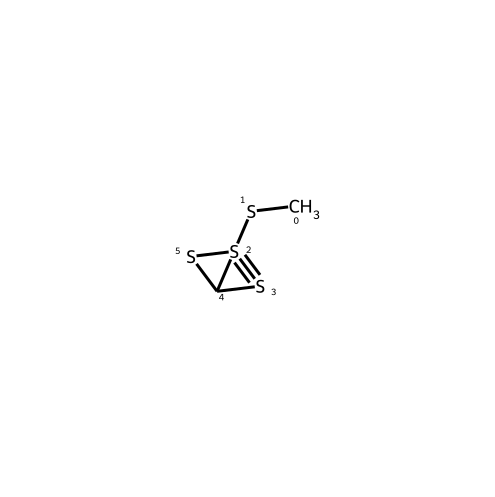 CSS12#SC1S2